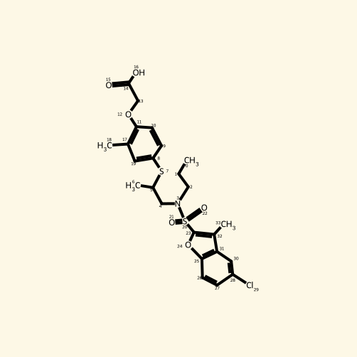 CCCN(CC(C)Sc1ccc(OCC(=O)O)c(C)c1)S(=O)(=O)c1oc2ccc(Cl)cc2c1C